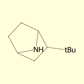 CC(C)(C)C1CC2CCC1N2